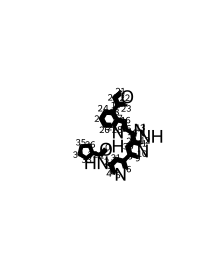 O=C(Nc1cncc(-c2cnc3[nH]nc(-c4cc5c(-c6ccoc6)cccc5[nH]4)c3c2)c1)C1CCCC1